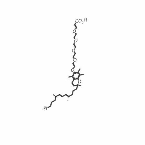 Cc1c(C)c2c(c(C)c1OCCOCCOCCOCCOCCC(=O)O)CC[C@@](C)(CCC[C@H](C)CCC[C@H](C)CCCC(C)C)O2